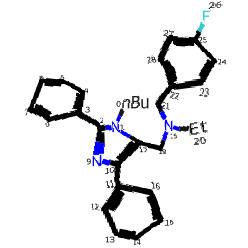 CCCCn1c(-c2ccccc2)nc(-c2ccccc2)c1CN(CC)Cc1ccc(F)cc1